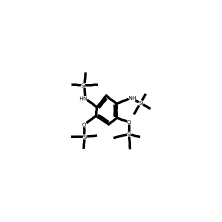 C[Si](C)(C)Nc1cc(N[Si](C)(C)C)c(O[Si](C)(C)C)cc1O[Si](C)(C)C